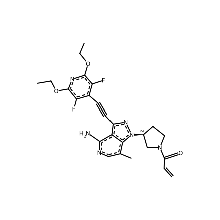 C=CC(=O)N1CC[C@H](n2nc(C#Cc3c(F)c(OCC)nc(OCC)c3F)c3c(N)ncc(C)c32)C1